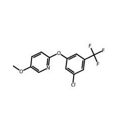 COc1ccc(Oc2cc(Cl)cc(C(F)(F)F)c2)nc1